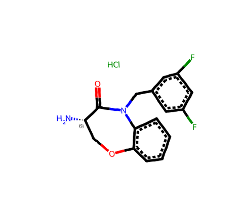 Cl.N[C@H]1COc2ccccc2N(Cc2cc(F)cc(F)c2)C1=O